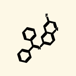 Fc1cnc2ccc(N=C(c3ccccc3)c3ccccc3)cc2c1